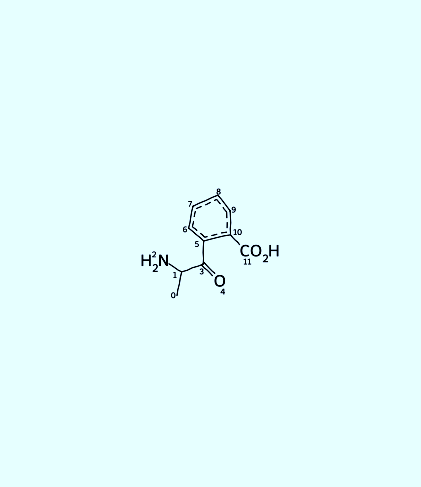 CC(N)C(=O)c1ccccc1C(=O)O